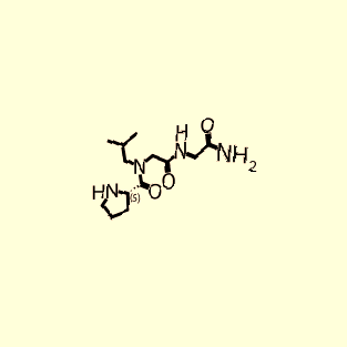 CC(C)CN(CC(=O)NCC(N)=O)C(=O)[C@@H]1CCCN1